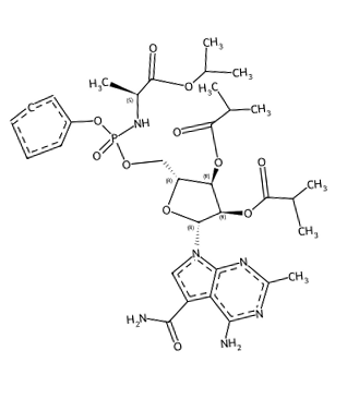 Cc1nc(N)c2c(C(N)=O)cn([C@@H]3O[C@H](COP(=O)(N[C@@H](C)C(=O)OC(C)C)Oc4ccccc4)[C@@H](OC(=O)C(C)C)[C@H]3OC(=O)C(C)C)c2n1